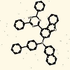 c1ccc(C2=NC(c3cc(N(c4ccc(-c5ccccc5)cc4)c4ccc5ccccc5c4)cc4oc5ccccc5c34)=NC(c3ccccc3)N2)cc1